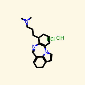 CN(C)CCCC1CC=CC2=C1N=CC1=CCCc3ccn2c31.Cl.Cl